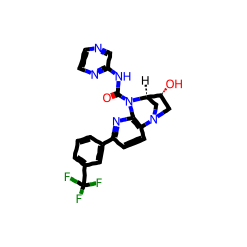 O=C(Nc1cnccn1)N1c2nc(-c3cccc(C(F)(F)F)c3)ccc2N2C[C@@H](O)[C@H]1C2